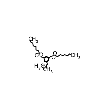 CCCCCCCC(=O)OCc1cc(COC(=O)CCCCCCC)cc(CN(C)C)c1